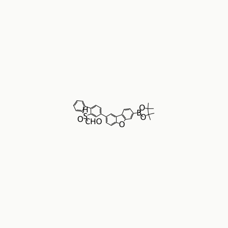 CC1(C)OB(c2ccc3c(c2)oc2ccc(-c4ccc5c(c4)[SH](=O)(C=O)c4ccccc4-5)cc23)OC1(C)C